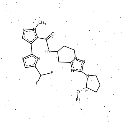 CCO[C@H]1CCCN1c1nc2n(n1)CCC(NC(=O)c1c(-c3nc(C(F)F)cs3)cnn1C)C2